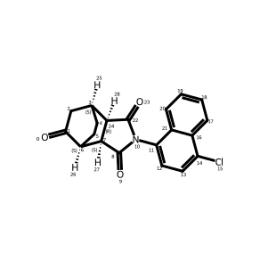 O=C1C[C@@H]2CC[C@H]1[C@@H]1C(=O)N(c3ccc(Cl)c4ccccc34)C(=O)[C@H]21